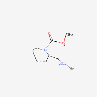 CC(C)NCC1CCCCN1C(=O)OC(C)(C)C